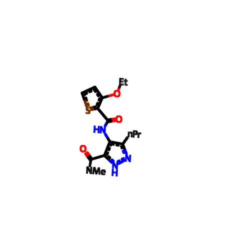 CCCc1n[nH]c(C(=O)NC)c1NC(=O)c1sccc1OCC